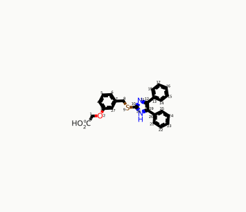 O=C(O)COc1cccc(CSc2nc(-c3ccccc3)c(-c3ccccc3)[nH]2)c1